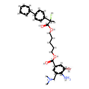 CN(C)Cc1cc(C(=O)OCCCCCOC(=O)C(C)(F)c2ccc(-c3ccccc3)cc2)cc(Br)c1N